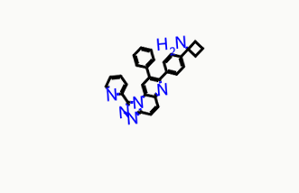 NC1(c2ccc(-c3nc4ccc5nnc(-c6ccccn6)n5c4cc3-c3ccccc3)cc2)CCC1